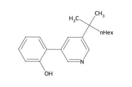 CCCCCCC(C)(C)c1cncc(-c2ccccc2O)c1